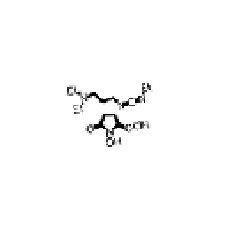 CCN=C=NCCCN(CC)CC.Cl.O=C1CCC(=O)N1O